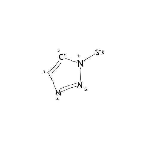 [S-]N1[C+]=CN=N1